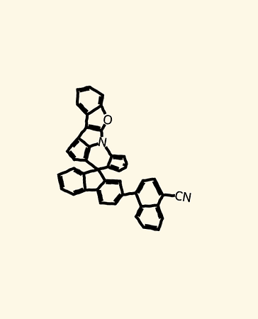 N#Cc1ccc(-c2ccc3c(c2)C2(c4ccccc4-3)c3ccccc3-n3c4oc5ccccc5c4c4cccc2c43)c2ccccc12